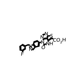 O=C(O)c1sc2ncnc3c2c1NC(=O)N3c1ccc2c(cnn2Cc2cccc(F)c2)c1